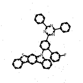 Fc1cccc(-c2cc(-c3nc(-c4ccccc4)nc(-c4ccccc4)n3)ccc2-n2c3ccccc3c3cc4c(cc32)sc2ccccc24)c1